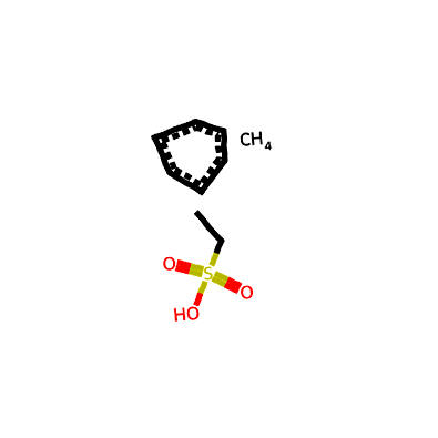 C.CCS(=O)(=O)O.c1ccccc1